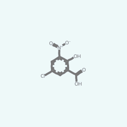 O=C(O)c1cc(Cl)cc([N+](=O)[O-])c1O